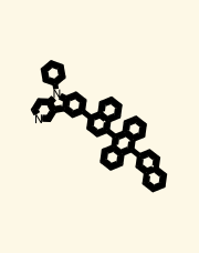 c1ccc(-n2c3ccncc3c3cc(-c4ccc(-c5c6ccccc6c(-c6ccc7ccccc7c6)c6ccccc56)c5ccccc45)ccc32)cc1